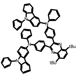 CC(C)(C)c1ccc(C(C)(C)C)c2nc(-c3ccc(N(c4ccccc4)c4ccc5c(c4)c4ccccc4n5-c4ccccc4)cc3)c(-c3ccc(N(c4ccccc4)c4ccc5c(c4)c4ccccc4n5-c4ccccc4)cc3)nc12